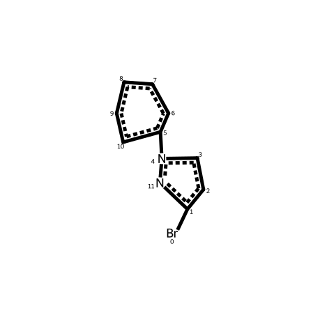 Brc1ccn(-c2ccccc2)n1